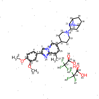 COc1ccc(-c2cn3cc(C4CCN(C5CC6CCC(C5)N6)CC4)cc(C)c3n2)cc1OC.O=C(O)C(F)(F)F.O=C(O)C(F)(F)F